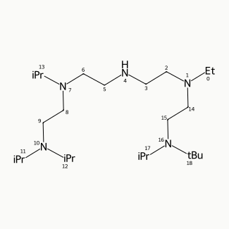 CCN(CCNCCN(CCN(C(C)C)C(C)C)C(C)C)CCN(C(C)C)C(C)(C)C